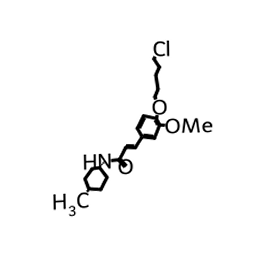 COc1cc(/C=C/C(=O)N[C@H]2CC[C@H](C)CC2)ccc1OCCCCCCl